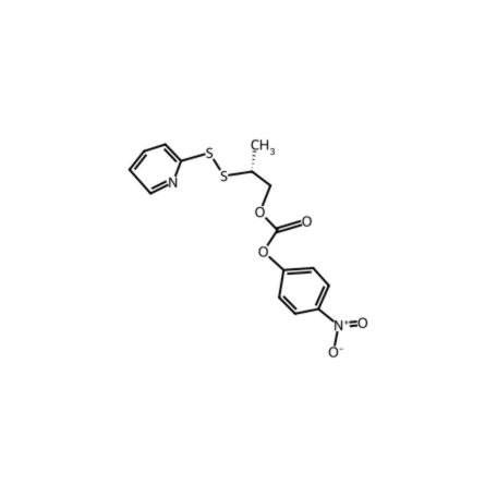 C[C@H](COC(=O)Oc1ccc([N+](=O)[O-])cc1)SSc1ccccn1